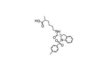 Cc1ccc(S(=O)(=O)N2c3ccccc3C[C@H]2C(=O)NCCCCC(C)C(=O)O)cc1